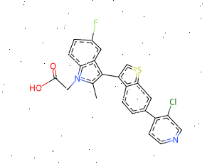 Cc1c(-c2csc3cc(-c4ccncc4Cl)ccc23)c2cc(F)ccc2n1CC(=O)O